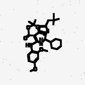 COc1ccc(NC(NC(c2ccc(CC(C)(C)C)s2)C2CCCCC2)=C2C(=O)OC(C)(C)OC2=O)c(OC)c1